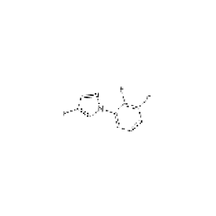 Fc1c(Cl)cccc1-n1cc(I)cn1